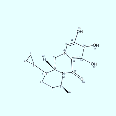 C[C@H]1CCN(C2CC2)[C@@H]2CN3C=C(O)C(O)C(O)=C3C(=O)N12